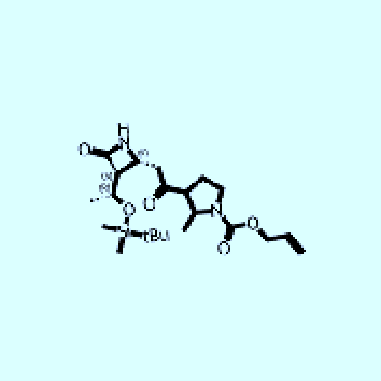 C=CCOC(=O)N1CCC(C(=O)C[C@H]2NC(=O)[C@@H]2[C@@H](C)O[Si](C)(C)C(C)(C)C)C1C